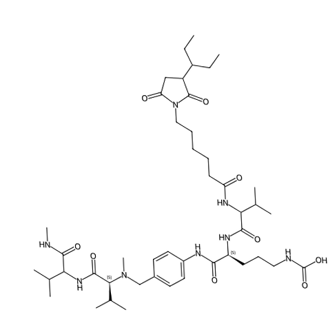 CCC(CC)C1CC(=O)N(CCCCCC(=O)NC(C(=O)N[C@@H](CCCNC(=O)O)C(=O)Nc2ccc(CN(C)[C@H](C(=O)NC(C(=O)NC)C(C)C)C(C)C)cc2)C(C)C)C1=O